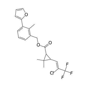 Cc1c(COC(=O)C2C(C=C(Cl)C(F)(F)F)C2(C)C)cccc1-c1ccco1